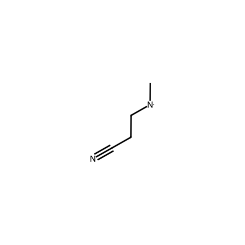 C[N]CCC#N